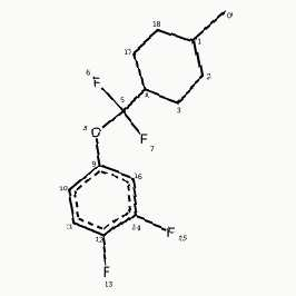 CC1CCC(C(F)(F)Oc2ccc(F)c(F)c2)CC1